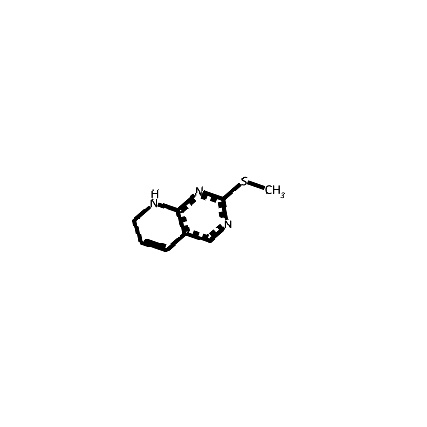 CSc1ncc2c(n1)NCC=C2